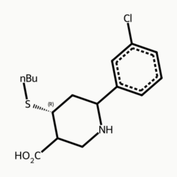 CCCCS[C@@H]1CC(c2cccc(Cl)c2)NCC1C(=O)O